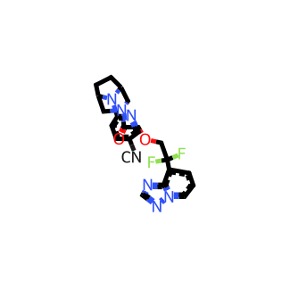 N#Cc1ccc(N2C3CCC2CN(C(=O)COCC(F)(F)c2cccn4ncnc24)C3)nc1